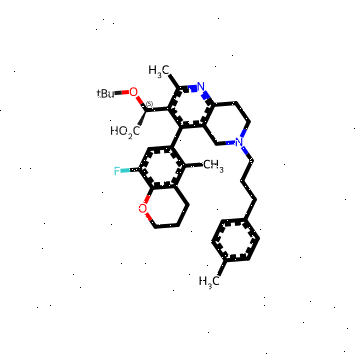 Cc1ccc(CCCN2CCc3nc(C)c([C@H](OC(C)(C)C)C(=O)O)c(-c4cc(F)c5c(c4C)CCCO5)c3C2)cc1